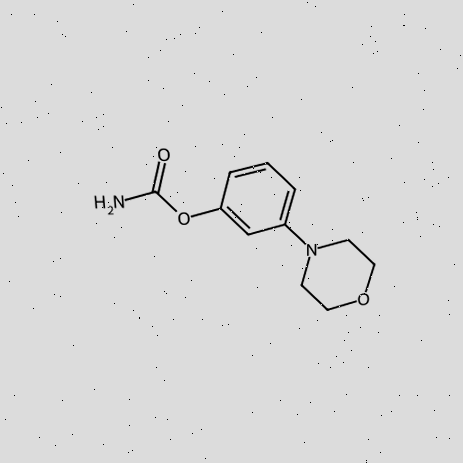 NC(=O)Oc1cccc(N2CCOCC2)c1